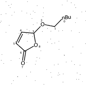 CCCCCOC1C=CC(=O)O1